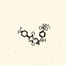 NS(=O)(=O)c1ccc(NC2(CN3C(=O)SC(=C4CCC(F)(F)CC4)C3=O)CC2)cc1